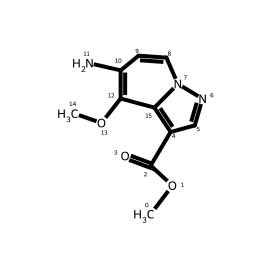 COC(=O)c1cnn2ccc(N)c(OC)c12